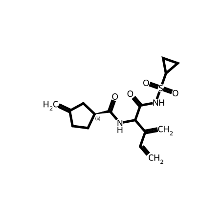 C=CC(=C)C(NC(=O)[C@H]1CCC(=C)C1)C(=O)NS(=O)(=O)C1CC1